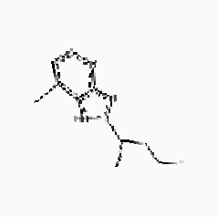 CCCC(C)c1nc2nccc(C)c2[nH]1